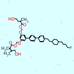 C=C(CO)C(=C)C(=O)OCOc1cc(OCOC(=O)C(=C)CCO)cc(-c2ccc(-c3ccc(CCC4CCC(CCCCF)CC4)cc3)cc2)c1